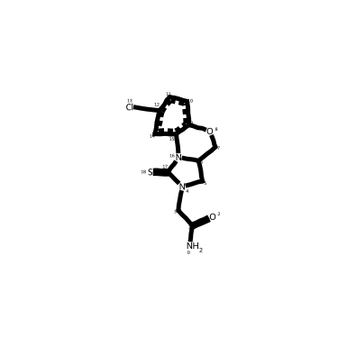 NC(=O)CN1CC2COc3ccc(Cl)cc3N2C1=S